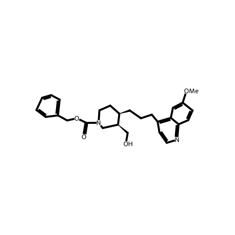 COc1ccc2nccc(CCC[C@@H]3CCN(C(=O)OCc4ccccc4)C[C@@H]3CO)c2c1